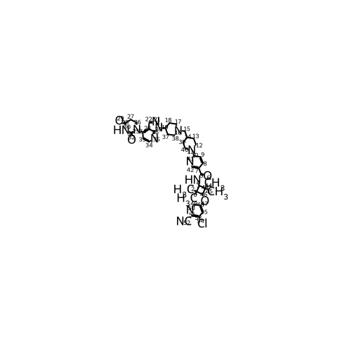 CC1(C)C(NC(=O)c2ccc(N3CCC(CN4CCC(n5ncc6c(N7CCC(=O)NC7=O)ccnc65)CC4)CC3)nc2)C(C)(C)C1Oc1cnc(C#N)c(Cl)c1